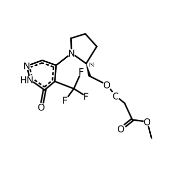 COC(=O)CCOC[C@@H]1CCCN1c1cn[nH]c(=O)c1C(F)(F)F